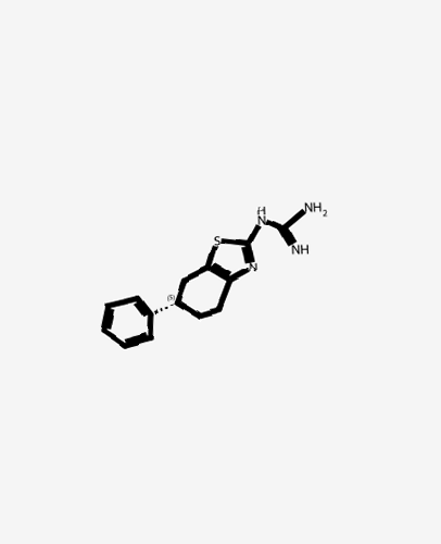 N=C(N)Nc1nc2c(s1)C[C@@H](c1ccccc1)CC2